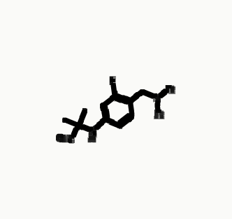 CCN(CC)Cc1ccc(NC(C)(C)C=O)cc1F